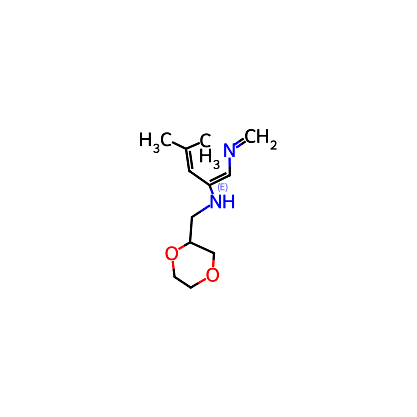 C=N/C=C(\C=C(C)C)NCC1COCCO1